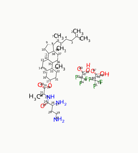 CC(C)CCC[C@@H](C)[C@H]1CCC2C3CC=C4CC(OC(=O)[C@H](C)NC(=O)C(N)CCN)CC[C@]4(C)C3CC[C@@]21C.O=C(O)C(F)(F)F.O=C(O)C(F)(F)F